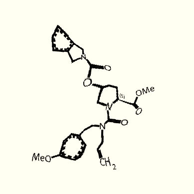 C=CCN(Cc1ccc(OC)cc1)C(=O)N1CC(OC(=O)N2Cc3ccccc3C2)C[C@H]1C(=O)OC